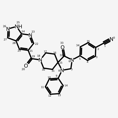 N#Cc1ccc(N2CN(c3ccccc3)C3(CCN(C(=O)c4cnc5[nH]ncc5c4)CC3)C2=O)cc1